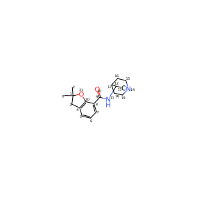 CC1(C)Cc2cccc(C(=O)NC3CN4CCC3CC4)c2O1